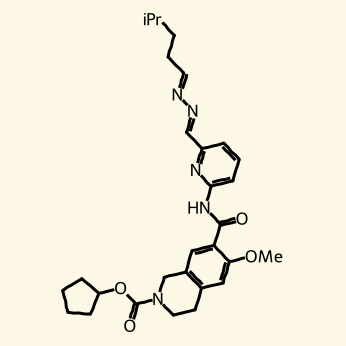 COc1cc2c(cc1C(=O)Nc1cccc(/C=N/N=C/CCC(C)C)n1)CN(C(=O)OC1CCCC1)CC2